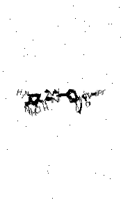 CC(C)NC(=O)CN1CCOc2cc(-c3nc(Nc4ccc(N)c(C=N)c4Cl)n(C)n3)ccc21